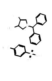 CC1CN(C(c2ccccc2)c2ccccc2)CC1O.Cc1ccc(S(=O)(=O)O)cc1